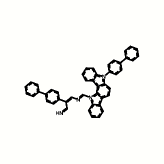 N=C/C(=C\N=C\n1c2ccccc2c2ccc3c(c4ccccc4n3-c3ccc(-c4ccccc4)cc3)c21)c1ccc(-c2ccccc2)cc1